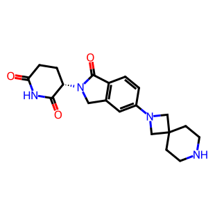 O=C1CC[C@H](N2Cc3cc(N4CC5(CCNCC5)C4)ccc3C2=O)C(=O)N1